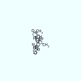 CC1C[C@H]2[C@@H]3CCC4N(C)C(=O)CC[C@]4(C)[C@@H]3CC[C@]2(C)C1CNS(=O)(=O)c1cccs1